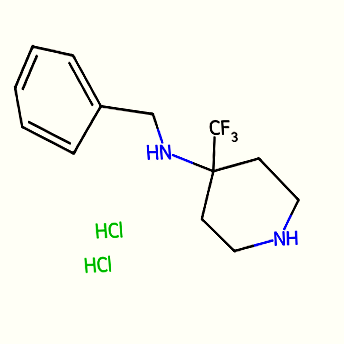 Cl.Cl.FC(F)(F)C1(NCc2ccccc2)CCNCC1